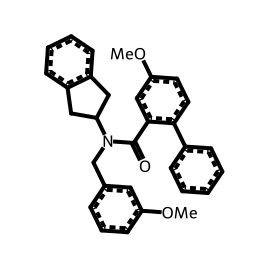 COc1cccc(CN(C(=O)c2cc(OC)ccc2-c2ccccc2)C2Cc3ccccc3C2)c1